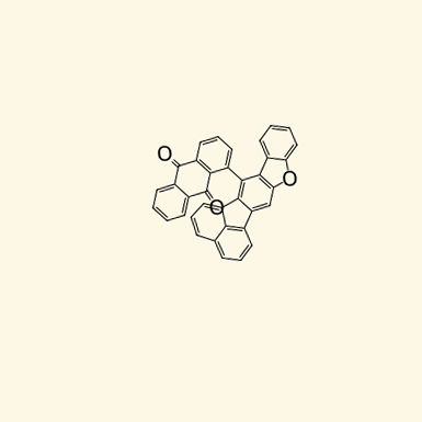 O=C1c2ccccc2C(=O)c2c1cccc2-c1c2c(cc3oc4ccccc4c13)-c1cccc3cccc-2c13